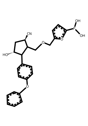 N#C[C@@H]1C[C@@H](O)C(c2ccc(Oc3ccccc3)cc2)C1COCc1ccc(P(O)O)o1